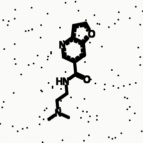 CN(C)CCNC(=O)c1cnc2ccoc2c1